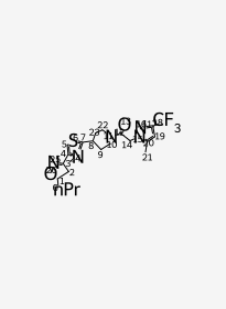 CCCC1CC(c2csc(C3CCN(C(=O)Cn4nc(C(F)(F)F)cc4C)CC3)n2)=NO1